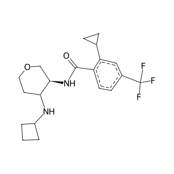 O=C(N[C@@H]1COCCC1NC1CCC1)c1ccc(C(F)(F)F)cc1C1CC1